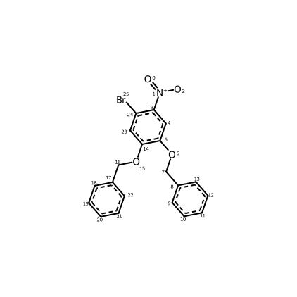 O=[N+]([O-])c1cc(OCc2ccccc2)c(OCc2ccccc2)cc1Br